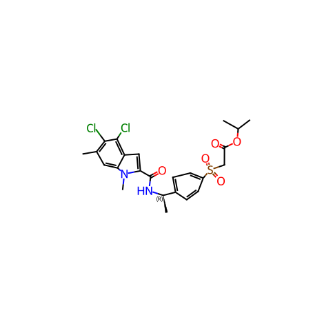 Cc1cc2c(cc(C(=O)N[C@H](C)c3ccc(S(=O)(=O)CC(=O)OC(C)C)cc3)n2C)c(Cl)c1Cl